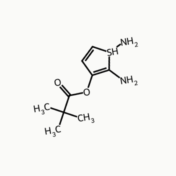 CC(C)(C)C(=O)OC1=C(N)[SH](N)C=C1